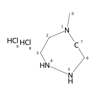 CN1CCNNCC1.Cl.Cl